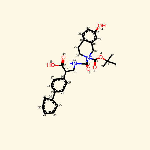 CC(C)(C)OC(=O)[N+]1(C(=O)NCC(C(=O)O)c2ccc(-c3ccccc3)cc2)CCc2ccc(O)cc2C1